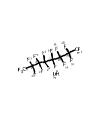 FC(F)(F)C(F)(F)C(F)(F)C(F)(F)C(F)(F)C(F)(F)C(F)(F)C(F)(F)F.[LiH]